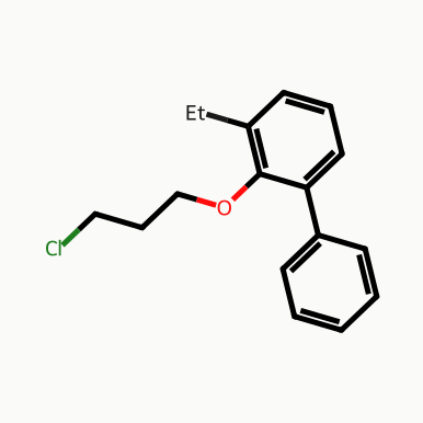 CCc1cccc(-c2ccccc2)c1OCCCCl